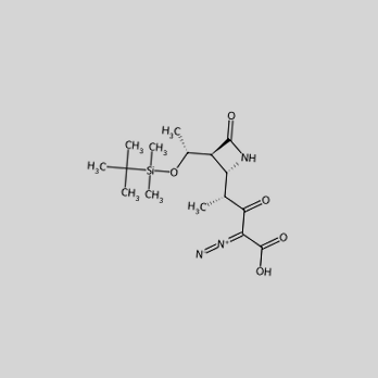 C[C@@H](O[Si](C)(C)C(C)(C)C)[C@H]1C(=O)N[C@@H]1[C@@H](C)C(=O)C(=[N+]=[N-])C(=O)O